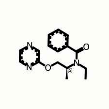 CCN(C(=O)c1ccccc1)[C@@H](C)COc1cnccn1